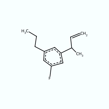 C=C[C](C)c1cc(F)cc(CCC)c1